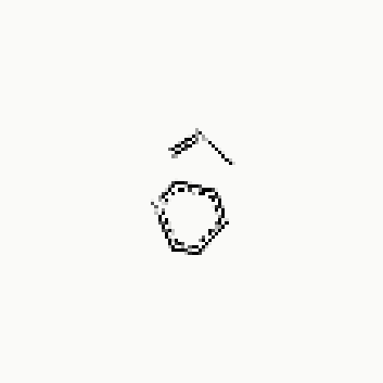 C=NC.c1ccncc1